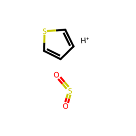 O=S=O.[H+].c1ccsc1